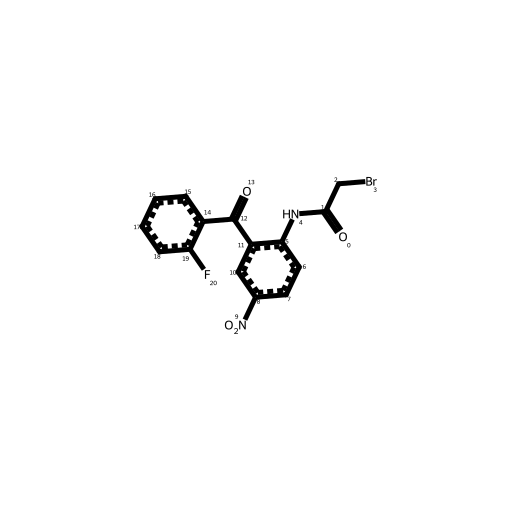 O=C(CBr)Nc1ccc([N+](=O)[O-])cc1C(=O)c1ccccc1F